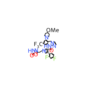 COC1CCN(c2cc(C(F)(F)F)ccc2Cn2ccnc2NC(=O)[C@@H]2CN(CCc3n[nH]c(=O)o3)C[C@H]2c2ccc(F)cc2F)CC1